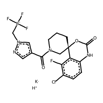 O=C1Nc2ccc(Cl)c(F)c2[C@@]2(CCCN(C(=O)c3cnn(C[B-](F)(F)F)c3)C2)O1.[H+].[K]